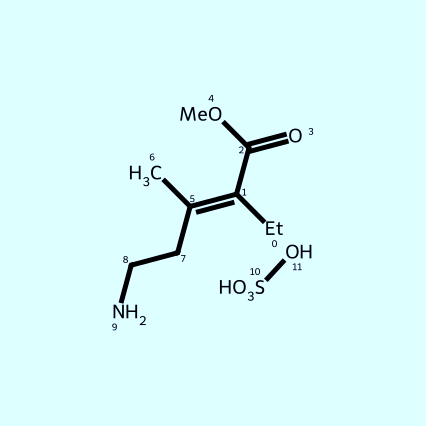 CCC(C(=O)OC)=C(C)CCN.O=S(=O)(O)O